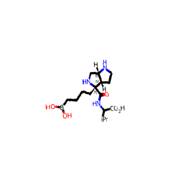 CC(C)C(NC(=O)[C@]1(CCCCB(O)O)NC[C@@H]2NCC[C@@H]21)C(=O)O